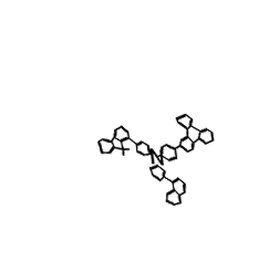 CC1(C)c2ccccc2-c2cccc(-c3ccc(N(c4ccc(-c5ccc6c7ccccc7c7ccccc7c6c5)cc4)c4cccc(-c5cccc6ccccc56)c4)cc3)c21